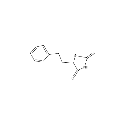 O=C1NC(=S)SC1CCc1ccccc1